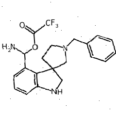 NC(OC(=O)C(F)(F)F)c1cccc2c1C1(CCN(Cc3ccccc3)C1)CN2